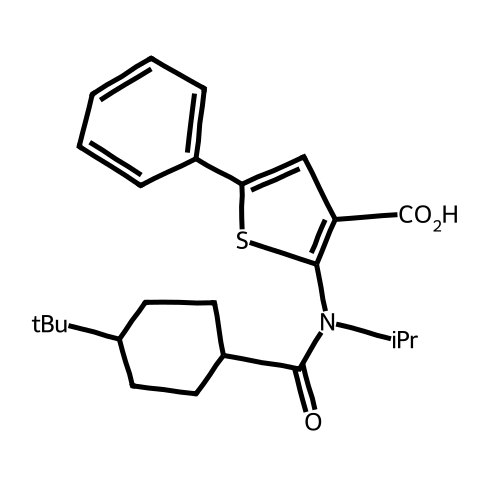 CC(C)N(C(=O)C1CCC(C(C)(C)C)CC1)c1sc(-c2ccccc2)cc1C(=O)O